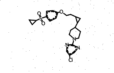 O=S(=O)(c1ccc(OCCC2CC2C2CCN(c3ncc(Cl)cn3)CC2)cc1)C1CC1